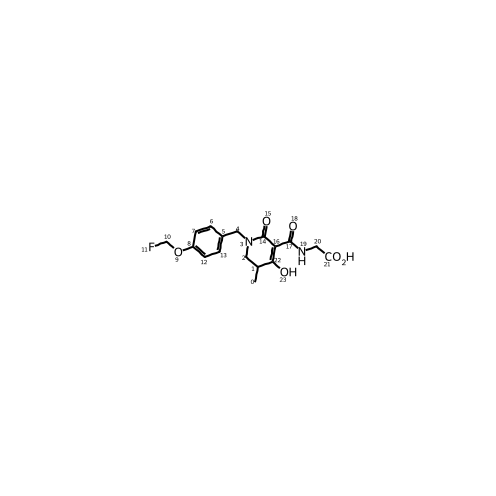 CC1CN(Cc2ccc(OCF)cc2)C(=O)C(C(=O)NCC(=O)O)=C1O